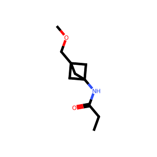 CCC(=O)NC12CC(COC)(C1)C2